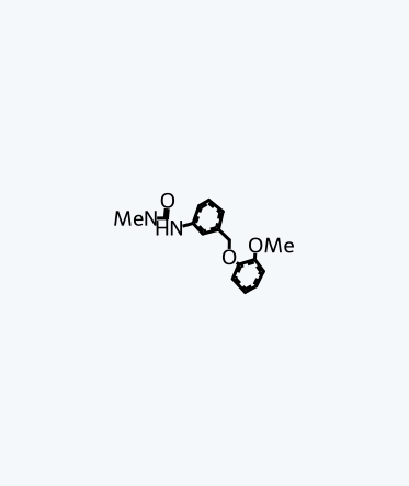 CNC(=O)Nc1cccc(COc2ccccc2OC)c1